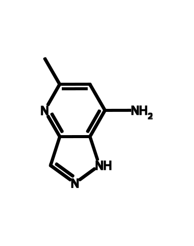 Cc1cc(N)c2[nH]ncc2n1